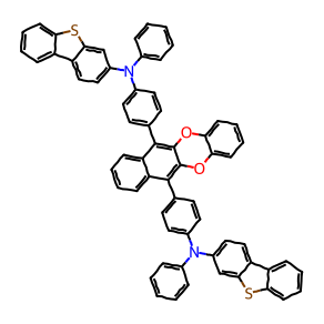 c1ccc(N(c2ccc(-c3c4c(c(-c5ccc(N(c6ccccc6)c6ccc7c(c6)sc6ccccc67)cc5)c5ccccc35)Oc3ccccc3O4)cc2)c2ccc3c(c2)sc2ccccc23)cc1